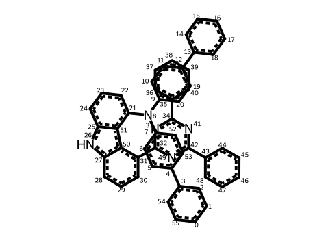 c1ccc(-c2ccc(N(c3ccc(-c4ccccc4)cc3)c3cccc4[nH]c5cccc(-c6nc(-c7ccccc7)nc(-c7ccccc7)n6)c5c34)cc2)cc1